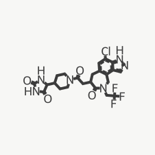 O=C1NC(=O)C(C2CCN(C(=O)CC3Cc4cc(Cl)c5[nH]ncc5c4CN(CC(F)(F)F)C3=O)CC2)N1